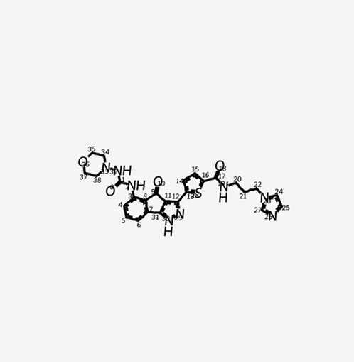 O=C(Nc1cccc2c1C(=O)c1c(-c3ccc(C(=O)NCCCn4ccnc4)s3)n[nH]c1-2)NN1CCOCC1